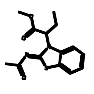 CCC(C(=O)OC)n1c(=NC(C)=O)sc2ccccc21